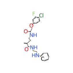 C=C(CCNC(=O)COc1ccc(Cl)c(F)c1)C(=O)NCCNC1=CC=CC=CC1